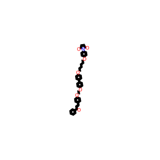 O=C(/C=C/c1ccc(OCCOc2ccc(-c3ccc(OCCCCCCOc4ccc(N5C(=O)C=CC5=O)cc4)cc3)cc2)cc1)c1ccccc1